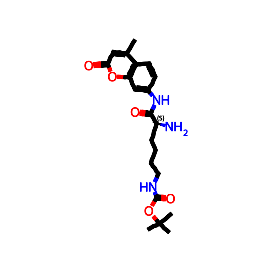 Cc1cc(=O)oc2cc(NC(=O)[C@@H](N)CCCCNC(=O)OC(C)(C)C)ccc12